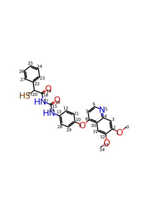 COc1cc2nccc(Oc3ccc(NC(=O)NC(=O)C(S)c4ccccc4)cc3)c2cc1OC